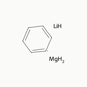 [LiH].[MgH2].[c]1ccccc1